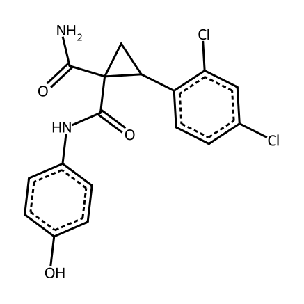 NC(=O)C1(C(=O)Nc2ccc(O)cc2)CC1c1ccc(Cl)cc1Cl